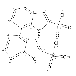 O=S(=O)(Cl)c1cc2ccccc2s1.O=S(=O)(Cl)c1nc2ccccc2o1